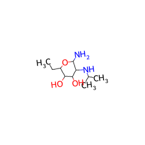 CCC1OC(N)C(NC(C)C)C(O)C1O